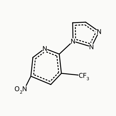 O=[N+]([O-])c1cnc(-n2ccnn2)c(C(F)(F)F)c1